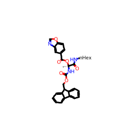 CCCCCCNC(=O)[C@@](C)(NC(=O)OCC1c2ccccc2-c2ccccc21)OC(=O)c1ccc2ocnc2c1